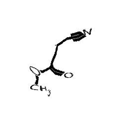 COC(=O)[CH]C#N